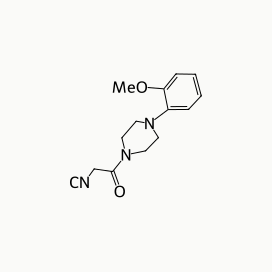 [C-]#[N+]CC(=O)N1CCN(c2ccccc2OC)CC1